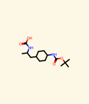 CC(CC1CCC(NC(=O)OC(C)(C)C)CC1)NC(=O)O